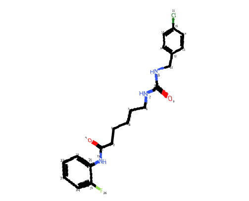 O=C(CCCCCNC(=O)NCc1ccc(Cl)cc1)Nc1ccccc1F